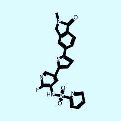 CN1Cc2cc(-c3ccc(-c4cnc(F)c(NS(=O)(=O)c5ccccn5)c4)s3)ccc2C1=O